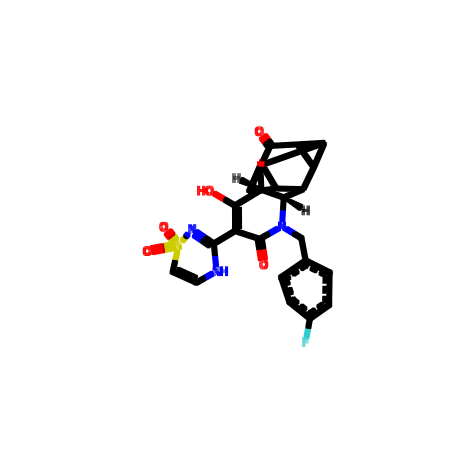 O=C1C2C3C2C2C4C1C4C3[C@H]1C(O)=C(C3=NS(=O)(=O)C=CN3)C(=O)N(Cc3ccc(F)cc3)[C@@H]21